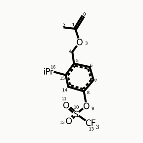 C=C(C)OCc1ccc(OS(=O)(=O)C(F)(F)F)cc1C(C)C